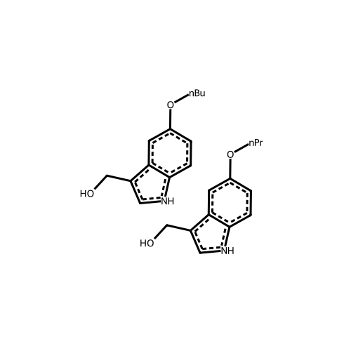 CCCCOc1ccc2[nH]cc(CO)c2c1.CCCOc1ccc2[nH]cc(CO)c2c1